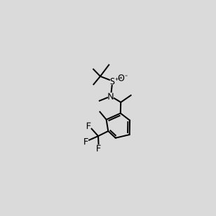 Cc1c(C(C)N(C)[S@@+]([O-])C(C)(C)C)cccc1C(F)(F)F